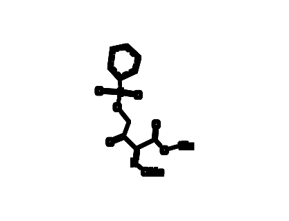 CO/N=C(/C(=O)COS(=O)(=O)c1ccccc1)C(=O)OC(C)(C)C